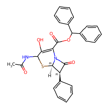 CC(=O)NC1S[C@@H]2[C@H](c3ccccc3)C(=O)N2C(C(=O)OC(c2ccccc2)c2ccccc2)=C1O